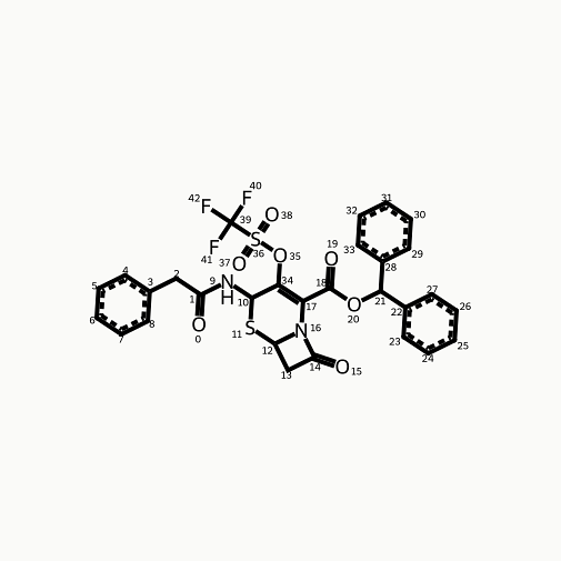 O=C(Cc1ccccc1)NC1SC2CC(=O)N2C(C(=O)OC(c2ccccc2)c2ccccc2)=C1OS(=O)(=O)C(F)(F)F